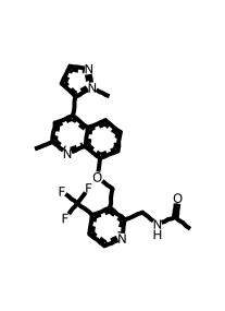 CC(=O)NCc1nccc(C(F)(F)F)c1COc1cccc2c(-c3ccnn3C)cc(C)nc12